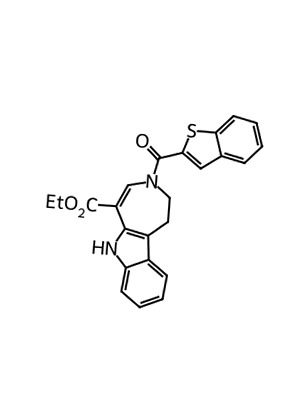 CCOC(=O)C1=CN(C(=O)c2cc3ccccc3s2)CCc2c1[nH]c1ccccc21